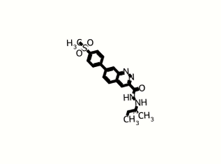 CC[C@@H](C)NNC(=O)c1cc2ccc(-c3ccc(S(C)(=O)=O)cc3)cc2nn1